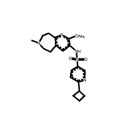 COc1nc2c(cc1NS(=O)(=O)c1ccc(C3CCC3)nc1)CCN(C)CC2